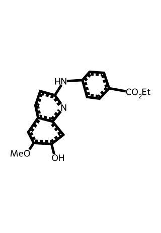 CCOC(=O)c1ccc(Nc2ccc3cc(OC)c(O)cc3n2)cc1